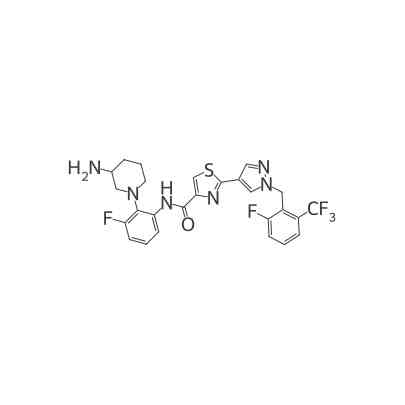 NC1CCCN(c2c(F)cccc2NC(=O)c2csc(-c3cnn(Cc4c(F)cccc4C(F)(F)F)c3)n2)C1